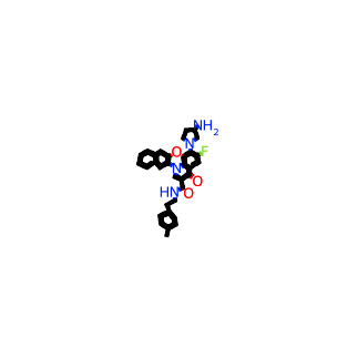 Cc1ccc(CCNC(=O)c2cn3c4c(c(N5CCC(N)C5)c(F)cc4c2=O)Oc2cc4ccccc4cc2-3)cc1